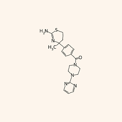 CC1(c2ccc(C(=O)N3CCN(c4ncccn4)CC3)cc2)CCSC(N)=N1